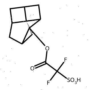 O=C(OC1C2CC3CC4CC1[C@@]34C2)C(F)(F)S(=O)(=O)O